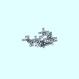 C[C@H](CC[C@@H](O[C@@H]1O[C@H](CO[C@@H]2O[C@H](CO)[C@@H](O)[C@H](O)[C@H]2O)[C@@H](O)[C@H](O)[C@H]1O[C@@H]1O[C@H](CO)C[C@H](O)[C@H]1O)C(C)(C)O)[C@H]1CC[C@@]2(C)[C@@H]3CC=C4[C@@H](CC[C@H](O[C@@H]5O[C@H](CO[C@@H]6O[C@H](CO)[C@@H](O[C@@H]7C[C@@H](O)C[C@@H](CO)O7)[C@H](O)[C@H]6O)[C@@H](O)[C@H](O)[C@H]5O)C4(C)C)[C@]3(C)[C@H](O)C[C@]12C